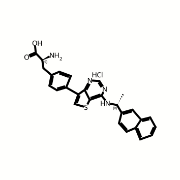 C[C@@H](Nc1ncnc2c(-c3ccc(C[C@H](N)C(=O)O)cc3)csc12)c1ccc2ccccc2c1.Cl